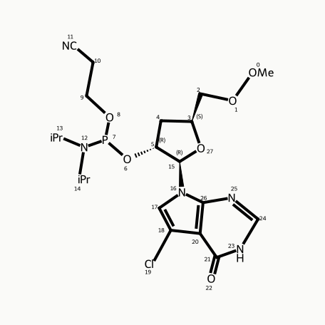 COOC[C@@H]1C[C@@H](OP(OCCC#N)N(C(C)C)C(C)C)[C@H](n2cc(Cl)c3c(=O)[nH]cnc32)O1